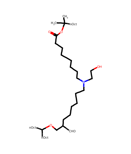 CCCCCCCCC(CCCCCCCC)OCC(C=O)CCCCCCN(CCO)CCCCCCCC(=O)OC(C)(C)CCCCCCCC